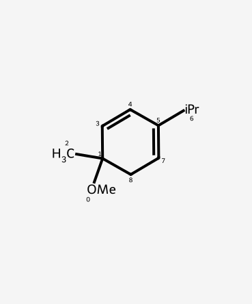 COC1(C)C=CC(C(C)C)=CC1